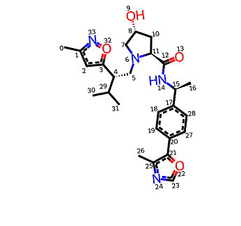 Cc1cc([C@H](CN2C[C@H](O)C[C@H]2C(=O)N[C@@H](C)c2ccc(-c3ocnc3C)cc2)C(C)C)on1